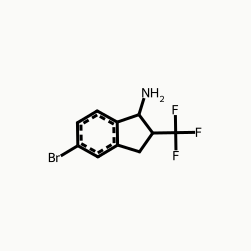 NC1c2ccc(Br)cc2CC1C(F)(F)F